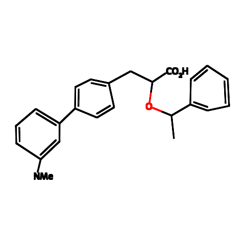 CNc1cccc(-c2ccc(CC(OC(C)c3ccccc3)C(=O)O)cc2)c1